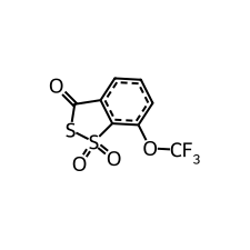 O=C1SS(=O)(=O)c2c(OC(F)(F)F)cccc21